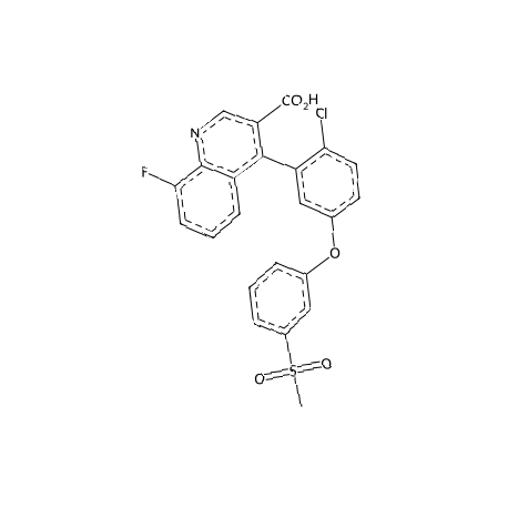 CS(=O)(=O)c1cccc(Oc2ccc(Cl)c(-c3c(C(=O)O)cnc4c(F)cccc34)c2)c1